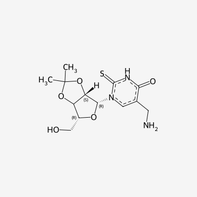 CC1(C)OC2[C@@H](CO)O[C@@H](n3cc(CN)c(=O)[nH]c3=S)[C@H]2O1